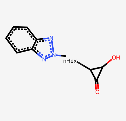 CCCCCCC1C(=O)C1O.Cn1nc2ccccc2n1